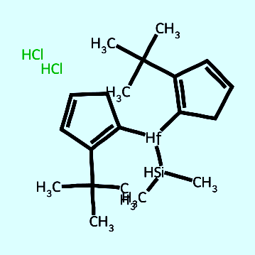 C[SiH](C)[Hf]([C]1=C(C(C)(C)C)C=CC1)[C]1=C(C(C)(C)C)C=CC1.Cl.Cl